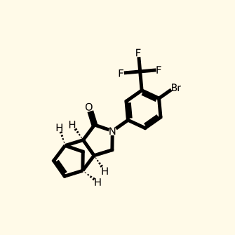 O=C1[C@H]2[C@@H](CN1c1ccc(Br)c(C(F)(F)F)c1)[C@H]1C=C[C@@H]2C1